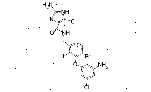 Nc1cc(Cl)cc(Oc2c(Br)ccc(CNC(=O)c3nc(N)[nH]c3Cl)c2F)c1